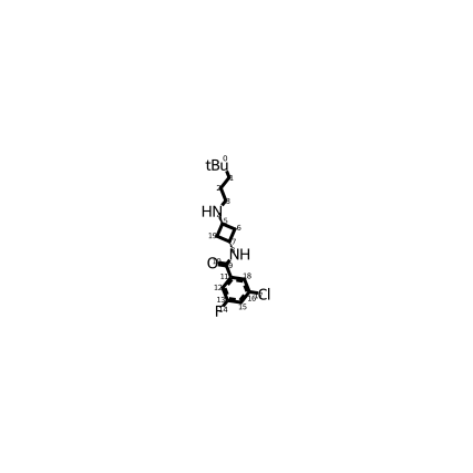 CC(C)(C)CCCN[C@H]1C[C@H](NC(=O)c2cc(F)cc(Cl)c2)C1